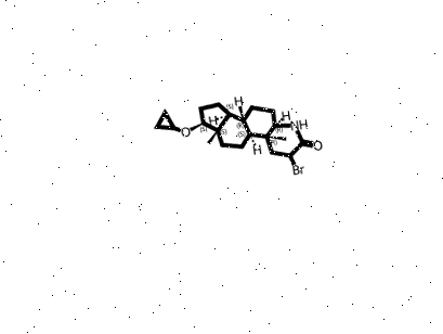 C[C@]12CC(Br)C(=O)N[C@@H]1CC[C@@H]1[C@@H]2CC[C@]2(C)[C@@H](OC3CC3)CC[C@@H]12